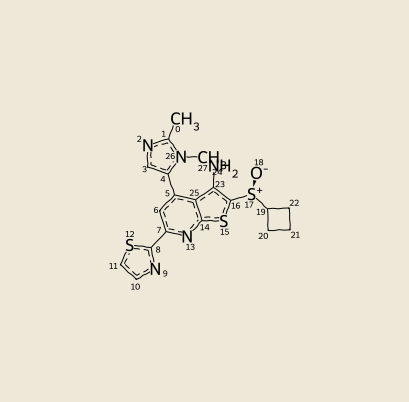 Cc1ncc(-c2cc(-c3nccs3)nc3sc([S@@+]([O-])C4CCC4)c(N)c23)n1C